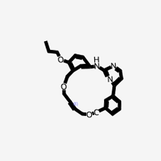 CCCOc1ccc2cc1COC/C=C/COCc1cccc(c1)-c1ccnc(n1)N2